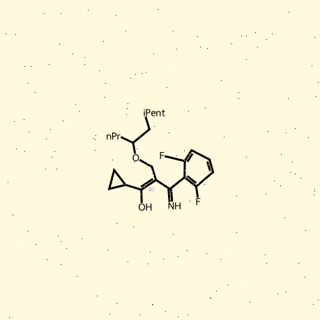 CCCC(C)CC(CCC)OC/C(C(=N)c1c(F)cccc1F)=C(/O)C1CC1